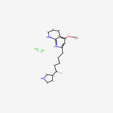 COc1cc(CCCCC(F)C2CCNC2)nc2c1CCCN2.Cl.Cl